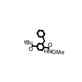 CONC(=O)c1ccc(C(=O)C(C)(C)C)cc1Cc1ccccc1